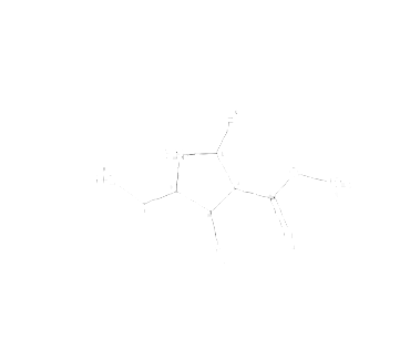 CC(C)(C)OC(=O)C1C(F)NC(CO)C1F